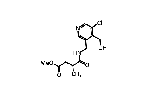 COC(=O)CC(C)C(=O)NCc1cncc(Cl)c1CO